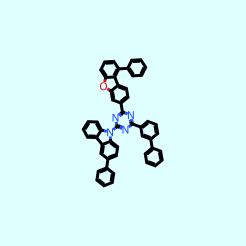 c1ccc(-c2cccc(-c3nc(-c4ccc5c(c4)oc4cccc(-c6ccccc6)c45)nc(-n4c5ccccc5c5cc(-c6ccccc6)ccc54)n3)c2)cc1